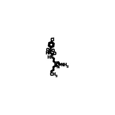 CCCCc1nc(N)cn1CCNC(=O)NS(=O)(=O)c1ccc(Cl)cc1